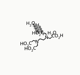 N.N.N.N.O.O.O=C(O)CN(CCN(CC(=O)O)CC(=O)O)CC(=O)O